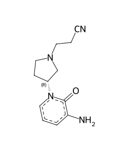 N#CCCN1CC[C@@H](n2cccc(N)c2=O)C1